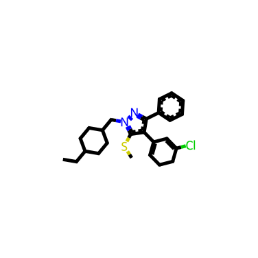 CCC1CCC(Cn2nc(-c3ccccc3)c(C3=CCCC(Cl)=C3)c2SC)CC1